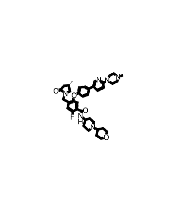 C[C@H]1CC(=O)N(Cc2cc(F)c(C(=O)NC3CCN(C4CCOCC4)CC3)cc2Oc2ccc(-c3ccc(N4CCN(C)CC4)nc3)cc2)C1